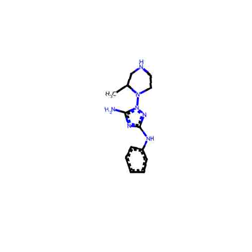 CC1CNCCN1n1nc(Nc2ccccc2)nc1N